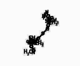 Cc1ncsc1-c1ccc(CNC(=O)[C@@H]2C[C@@H](C)CN2C(=O)[C@@H](NC(=O)COCCCCOCCCCOc2ccc(N3C(=S)N(c4ccc(C#N)c(C(F)(F)F)c4)C(=O)C3(C)C)cc2)C(C)(C)C)cc1